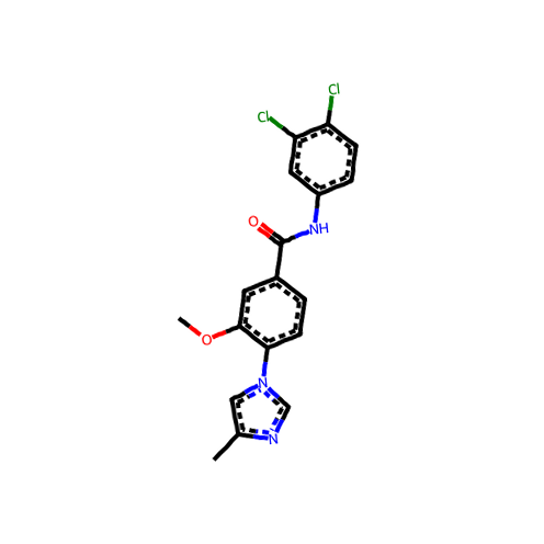 COc1cc(C(=O)Nc2ccc(Cl)c(Cl)c2)ccc1-n1cnc(C)c1